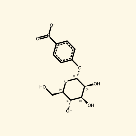 O=[N+]([O-])c1ccc(O[C@H]2O[C@H](CO)[C@@H](O)[C@H](O)[C@@H]2O)cc1